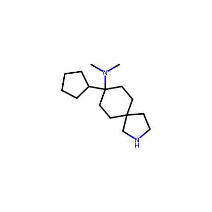 CN(C)C1(C2CCCC2)CCC2(CCNC2)CC1